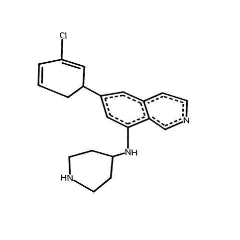 ClC1=CC(c2cc(NC3CCNCC3)c3cnccc3c2)CC=C1